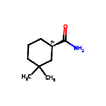 CC1(C)CCC[C@@H](C(N)=O)C1